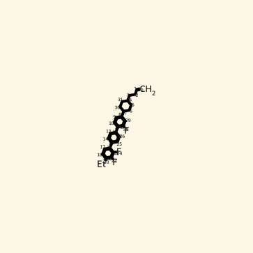 C=CCCC1CCC(c2ccc(-c3ccc(-c4ccc(CC)c(F)c4F)cc3)c(F)c2)CC1